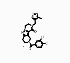 Cc1nonc1CN1CCn2nc3c(c2C1=O)CN(C(=O)c1ccc(Cl)c(Cl)c1)[C@H](C)C3